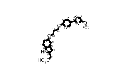 CCOc1csc(-c2ccc(OCCCOc3ccc4[nH]c(CC(=O)O)cc4c3)nc2)n1